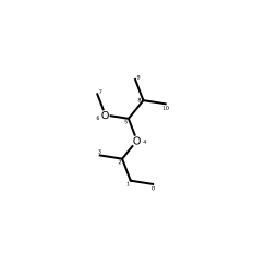 CCC(C)OC(OC)C(C)C